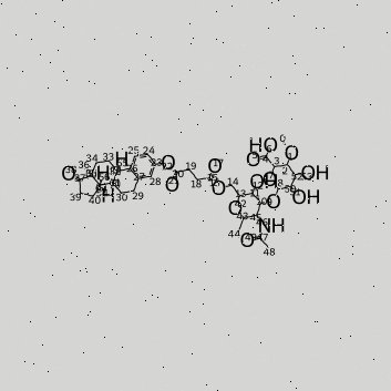 COC1C(C(=O)O)OC(OC2C(O)C(COC(=O)CCC(=O)Oc3ccc4c(c3)CC[C@@H]3[C@@H]4CC[C@]4(C)C(=O)CC[C@@H]34)OC(C)C2NC(C)=O)C(O)C1O